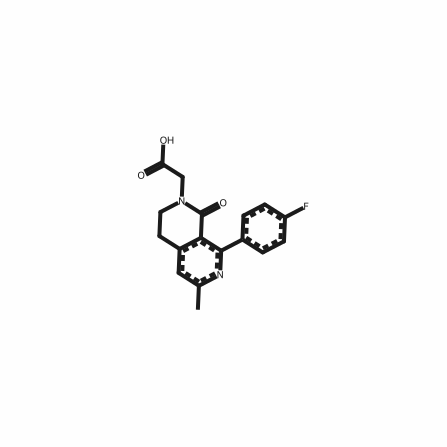 Cc1cc2c(c(-c3ccc(F)cc3)n1)C(=O)N(CC(=O)O)CC2